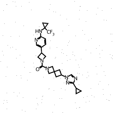 O=C(N1CC(c2ccc(NC3(C(F)(F)F)CC3)nc2)C1)N1CC2(CC(n3cnc(C4CC4)n3)C2)C1